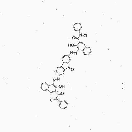 O=C1c2cc(N=Nc3c(O)c(C(=O)N(Cl)c4ccccc4)cc4ccccc34)ccc2-c2ccc(N=Nc3c(O)c(C(=O)N(Cl)c4ccccc4)cc4ccccc34)cc21